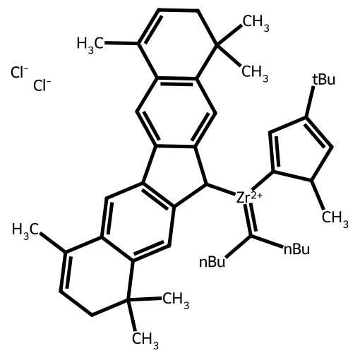 CCCC[C](CCCC)=[Zr+2]([C]1=CC(C(C)(C)C)=CC1C)[CH]1c2cc3c(cc2-c2cc4c(cc21)C(C)(C)CC=C4C)C(C)=CCC3(C)C.[Cl-].[Cl-]